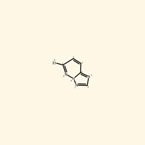 CCc1ccc2ncnn2n1